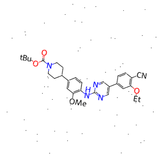 CCOc1cc(-c2cnc(Nc3ccc(C4CCN(C(=O)OC(C)(C)C)CC4)cc3OC)nc2)ccc1C#N